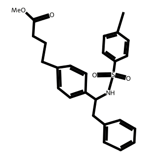 COC(=O)CCCc1ccc(C(Cc2ccccc2)NS(=O)(=O)c2ccc(C)cc2)cc1